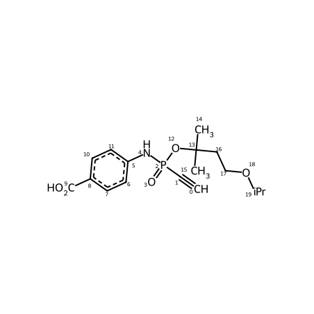 C#CP(=O)(Nc1ccc(C(=O)O)cc1)OC(C)(C)CCOC(C)C